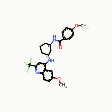 COc1ccc(C(=O)N[C@@H]2CCC[C@H](Nc3cc(C(F)(F)F)nc4ccc(OC)cc34)C2)cc1